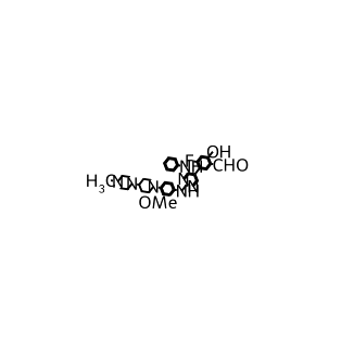 COc1cc(N2CCC(N3CCN(C)CC3)CC2)ccc1Nc1ncc(-c2cc(C=O)c(O)cc2F)c(Nc2ccccc2)n1